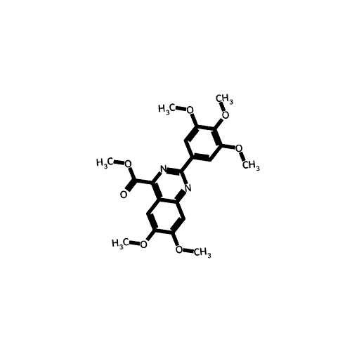 COC(=O)c1nc(-c2cc(OC)c(OC)c(OC)c2)nc2cc(OC)c(OC)cc12